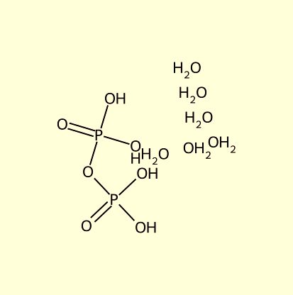 O.O.O.O.O.O.O=P(O)(O)OP(=O)(O)O